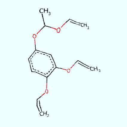 C=COc1ccc(OC(C)OC=C)cc1OC=C